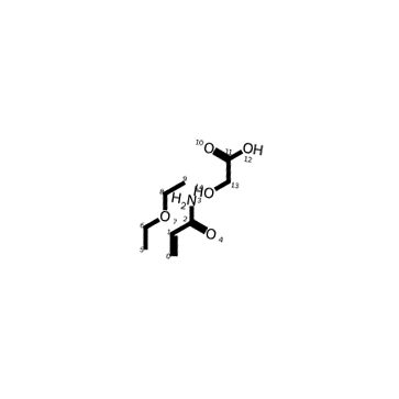 C=CC(N)=O.CCOCC.O=C(O)CO